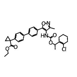 CCOC(=O)C1(c2ccc(-c3ccc(-c4onc(C)c4NC(=O)OC(C)C4=C(Cl)CCCC4)cc3)cc2)CC1